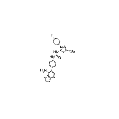 CC(C)(C)c1cc(NC(=O)Nc2ccc(-c3cnc4ccnn4c3N)cc2)n(-c2ccc(F)cc2)n1